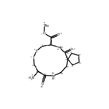 CC(C)(C)OC(=O)C1CSSCC(N)C(=O)NCCC2(CCCC2)C(=O)N1